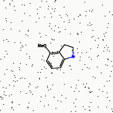 COc1cccc2c1CC[N]2